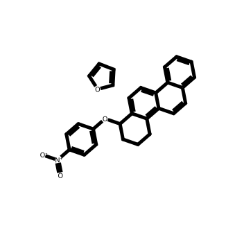 O=[N+]([O-])c1ccc(OC2CCCc3c2ccc2c3ccc3ccccc32)cc1.c1ccoc1